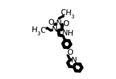 CCCn1c(=O)c2[nH]c(-c3ccc(OCc4ccc5ccccc5n4)cc3)cc2n(CCC)c1=O